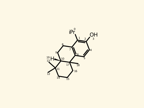 CC(C)c1c(O)ccc2c1CC[C@H]1C(C)(C)CCCC21C